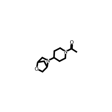 CC(=O)N1CCC(N2CC3CC2CO3)CC1